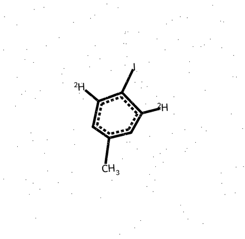 [2H]c1cc(C)cc([2H])c1I